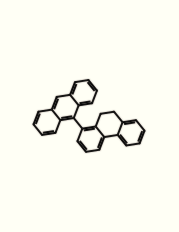 c1ccc2c(c1)CCc1c-2cccc1-c1c2ccccc2cc2ccccc12